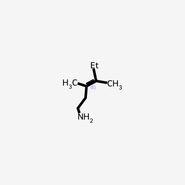 CC/C(C)=C(\C)CCN